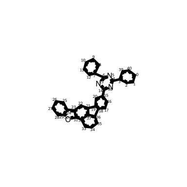 c1ccc(-c2nc(-c3ccccc3)nc(-c3ccc4c(c3)-c3cc5c6ccccc6oc5c5cccc-4c35)n2)cc1